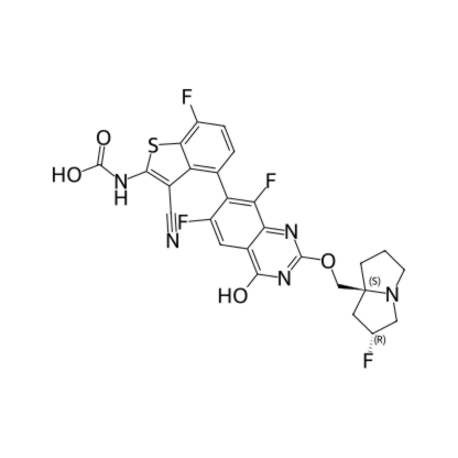 N#Cc1c(NC(=O)O)sc2c(F)ccc(-c3c(F)cc4c(O)nc(OC[C@@]56CCCN5C[C@H](F)C6)nc4c3F)c12